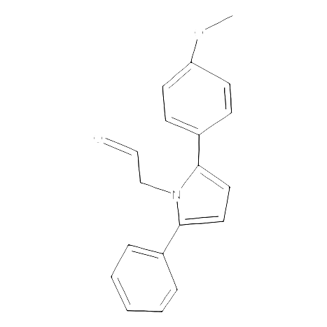 COc1ccc(-c2ccc(-c3ccccc3)n2CC=O)cc1